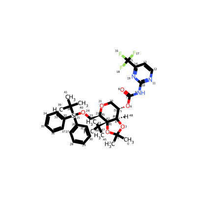 CC1(C)O[C@@H]2[C@@H](OC(=O)Nc3nccc(C(F)(F)F)n3)CO[C@H](CO[Si](c3ccccc3)(c3ccccc3)C(C)(C)C)[C@@]2(C(C)(C)C)O1